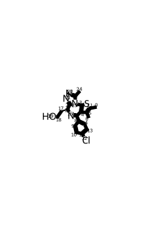 Cc1sc2c(c1C)C(c1ccc(Cl)cc1)=N[C@@H](CCO)c1nnc(C)n1-2